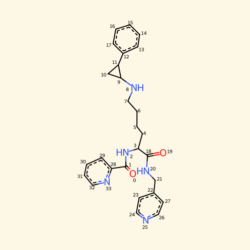 O=C(NC(CCCCNC1CC1c1ccccc1)C(=O)NCc1ccncc1)c1ccccn1